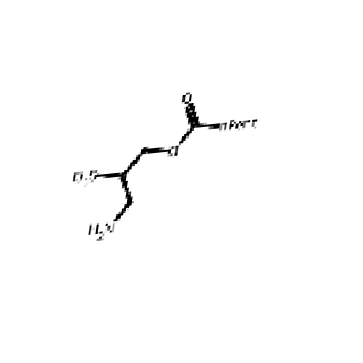 CCCCCC(=O)OCC(CN)S(=O)(=O)O